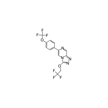 FC(F)(F)COc1nnc2cnc(-c3ccc(OC(F)(F)F)cc3)cn12